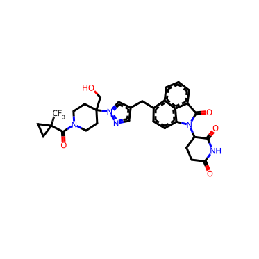 O=C1CCC(N2C(=O)c3cccc4c(Cc5cnn(C6(CO)CCN(C(=O)C7(C(F)(F)F)CC7)CC6)c5)ccc2c34)C(=O)N1